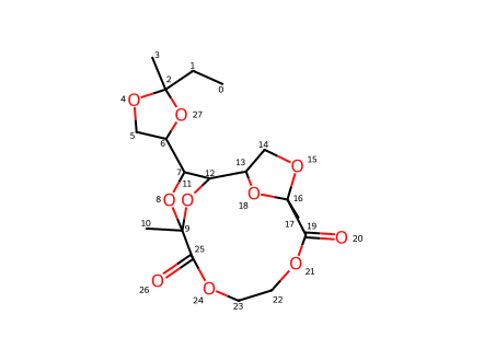 CCC1(C)OCC(C2OC3(C)OC2C2COC(C)(O2)C(=O)OCCOC3=O)O1